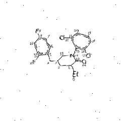 CCC1CC(Cc2ccc(F)cc2F)CN(c2c(Cl)cccc2Cl)C1=O